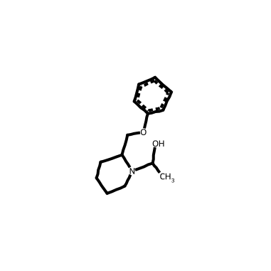 CC(O)N1CCCCC1COc1ccccc1